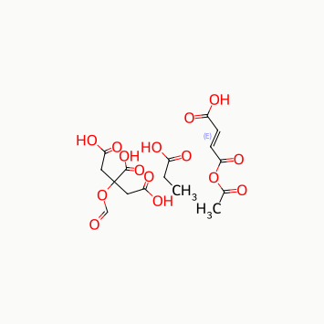 CC(=O)OC(=O)/C=C/C(=O)O.CCC(=O)O.O=COC(CC(=O)O)(CC(=O)O)C(=O)O